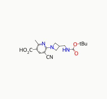 Cc1nc(N2CC(CNC(=O)OC(C)(C)C)C2)c(C#N)cc1C(=O)O